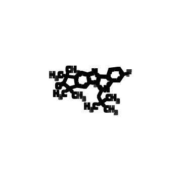 CC(C)(C)Cc1nc2cc(F)ccc2c2nc3cc4c(cc3n12)C(C)(C)C(=O)C4(C)C